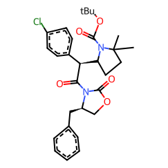 CC(C)(C)OC(=O)N1C([C@@H](C(=O)N2C(=O)OC[C@H]2Cc2ccccc2)c2ccc(Cl)cc2)CCC1(C)C